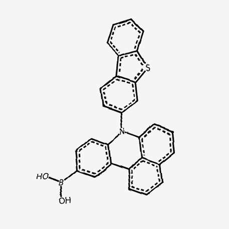 OB(O)c1ccc2c(c1)-c1cccc3cccc(c13)N2c1ccc2c(c1)sc1ccccc12